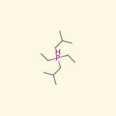 CC[PH](CC)(CC(C)C)CC(C)C